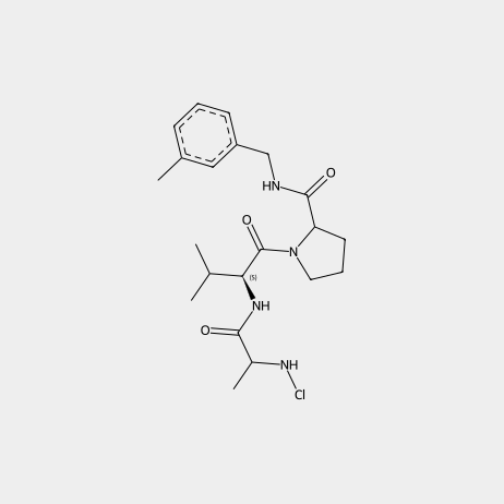 Cc1cccc(CNC(=O)C2CCCN2C(=O)[C@@H](NC(=O)C(C)NCl)C(C)C)c1